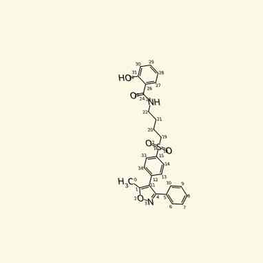 Cc1onc(-c2ccccc2)c1-c1ccc(S(=O)(=O)CCCCNC(=O)c2ccccc2O)cc1